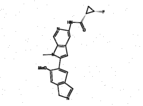 COc1cc2c(cc1-c1cc3cc(NC(=O)[C@@H]4C[C@@H]4F)ncc3n1C)C=NC2